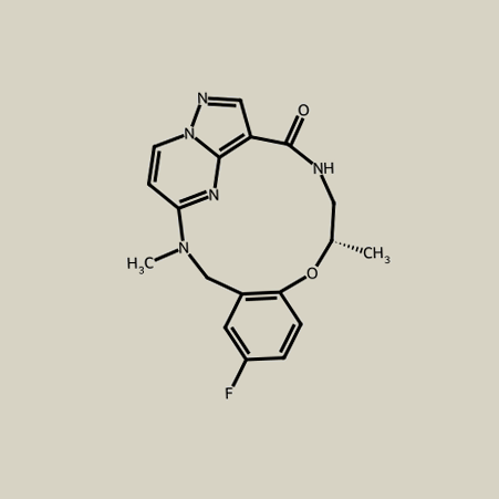 C[C@H]1CNC(=O)c2cnn3ccc(nc23)N(C)Cc2cc(F)ccc2O1